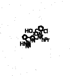 CCCc1cn(-c2c(Cl)cccc2C(=O)O)c(=O)n1Cc1ccc(-c2ccccc2-c2nnn[nH]2)cn1